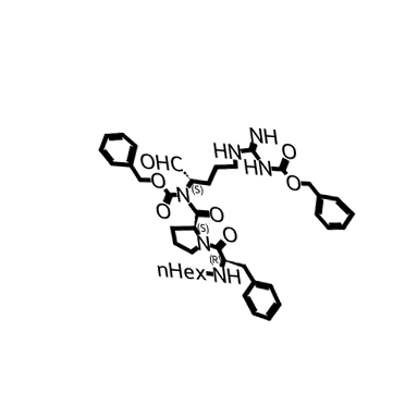 CCCCCCN[C@H](Cc1ccccc1)C(=O)N1CCC[C@H]1C(=O)N(C(=O)OCc1ccccc1)[C@H](C=O)CCCNC(=N)NC(=O)OCc1ccccc1